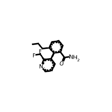 CCCc1cccc(C(N)=O)c1-c1cccnc1C(F)F